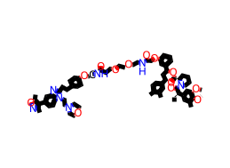 CC[C@H](C(=O)N1CCCC[C@H]1C(=O)OC(CCc1ccc(C)c(C)c1)c1cccc(OCC(=O)NCCOCCOCCC(=O)NCCOc2ccc(CCc3nc4cc(-c5c(C)noc5C)ccc4n3CCN3CCOCC3)cc2)c1)c1cc(C)c(OC)c(OC)c1